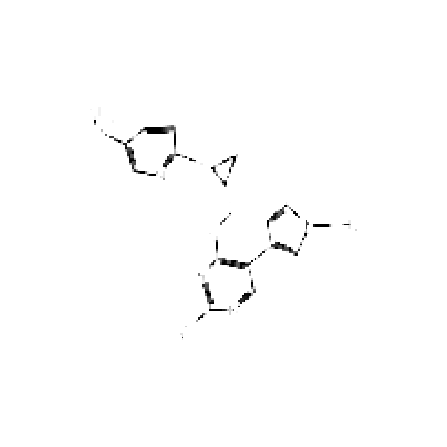 COc1ccc([C@H]2C[C@@H]2COc2nc(C)ncc2-c2ccn(C)c2)nc1